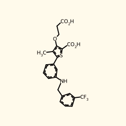 Cc1c(-c2cccc(NCc3cccc(C(F)(F)F)c3)c2)sc(C(=O)O)c1OCCC(=O)O